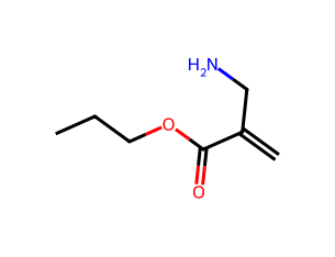 C=C(CN)C(=O)OCCC